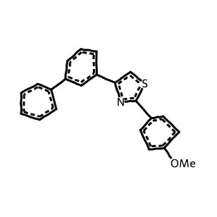 COc1ccc(-c2nc(-c3cccc(-c4ccccc4)c3)cs2)cc1